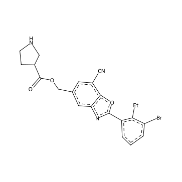 CCc1c(Br)cccc1-c1nc2cc(COC(=O)C3CCNC3)cc(C#N)c2o1